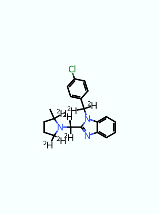 [2H]C1([2H])CCC([2H])(C)N1C([2H])([2H])c1nc2ccccc2n1C([2H])([2H])c1ccc(Cl)cc1